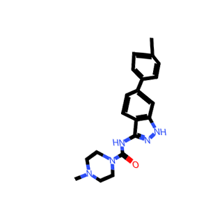 Cc1ccc(-c2ccc3c(NC(=O)N4CCN(C)CC4)n[nH]c3c2)cc1